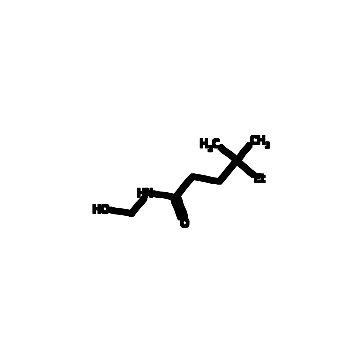 CCC(C)(C)CCC(=O)NCO